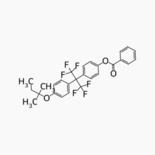 CCC(C)(C)Oc1ccc(C(c2ccc(OC(=O)c3ccccc3)cc2)(C(F)(F)F)C(F)(F)F)cc1